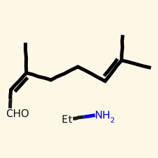 CC(C)=CCCC(C)=CC=O.CCN